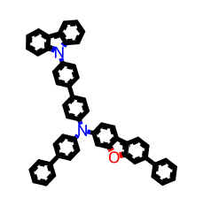 c1ccc(-c2ccc(N(c3ccc(-c4ccc(-n5c6ccccc6c6ccccc65)cc4)cc3)c3ccc4c(c3)oc3cc(-c5ccccc5)ccc34)cc2)cc1